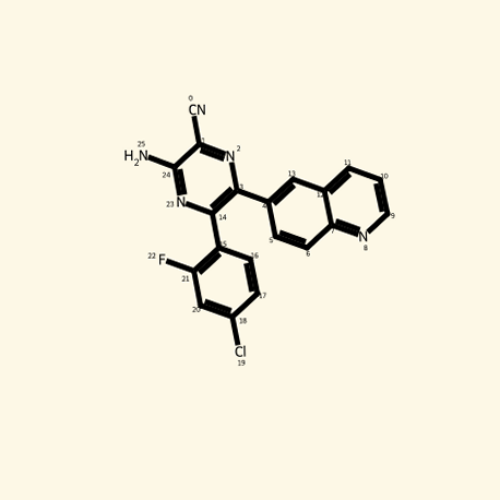 N#Cc1nc(-c2ccc3ncccc3c2)c(-c2ccc(Cl)cc2F)nc1N